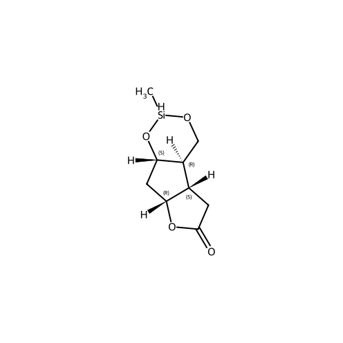 C[SiH]1OC[C@H]2[C@@H]3CC(=O)O[C@@H]3C[C@@H]2O1